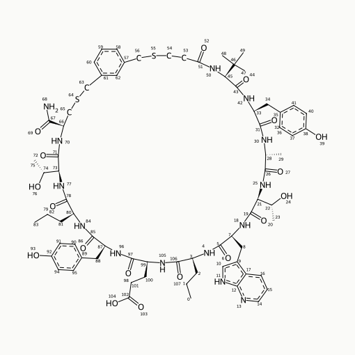 CCC[C@@H]1NC(=O)[C@H](Cc2c[nH]c3ncccc23)NC(=O)[C@H]([C@@H](C)O)NC(=O)[C@@H](C)NC(=O)[C@H](Cc2ccc(O)cc2)NC(=O)[C@H](C(C)(C)C)NC(=O)CCSCc2cccc(c2)CSC[C@H](C(N)=O)NC(=O)[C@H]([C@@H](C)O)NC(=O)[C@H](CCC)NC(=O)[C@H](Cc2ccc(O)cc2)NC(=O)[C@H](CCC(=O)O)NC1=O